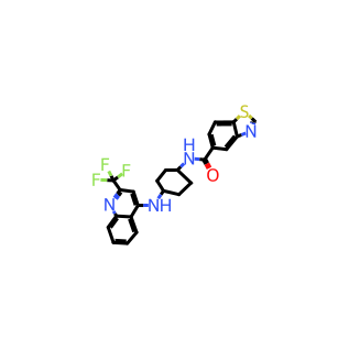 O=C(NC1CCC(Nc2cc(C(F)(F)F)nc3ccccc23)CC1)c1ccc2scnc2c1